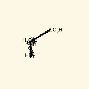 CCNC(=O)COCCOCCNC(=O)[C@H](C)NC(=O)CCCCCCCCCCCCCCCCC(=O)O